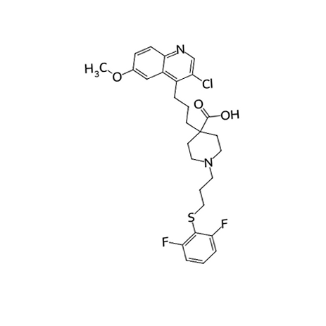 COc1ccc2ncc(Cl)c(CCCC3(C(=O)O)CCN(CCCSc4c(F)cccc4F)CC3)c2c1